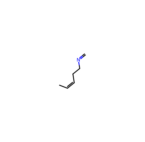 C=NCC/C=C\C